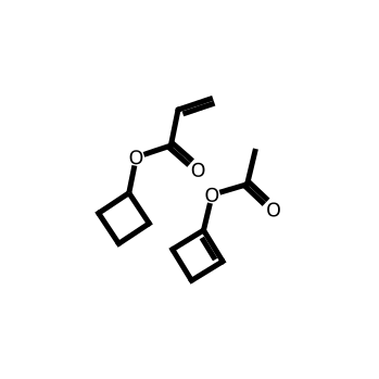 C=CC(=O)OC1CCC1.CC(=O)OC1=CCC1